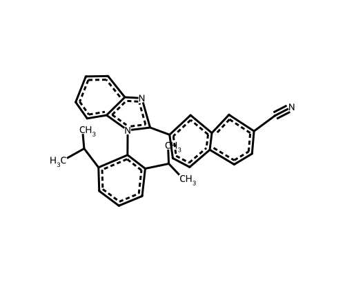 CC(C)c1cccc(C(C)C)c1-n1c(-c2ccc3ccc(C#N)cc3c2)nc2ccccc21